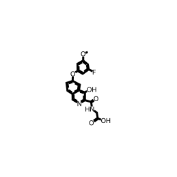 COc1cc(F)cc(Oc2ccc3cnc(C(=O)NCC(=O)O)c(O)c3c2)c1